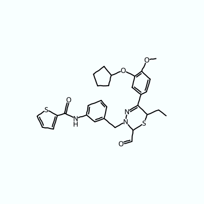 CCC1SC(C=O)N(Cc2cccc(NC(=O)c3cccs3)c2)N=C1c1ccc(OC)c(OC2CCCC2)c1